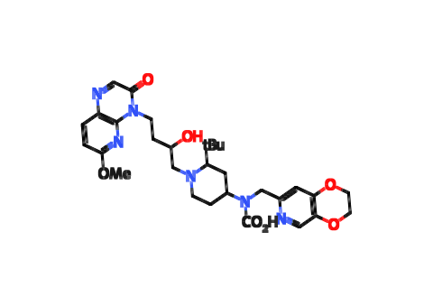 COc1ccc2ncc(=O)n(CCC(O)CN3CCC(N(Cc4cc5c(cn4)OCCO5)C(=O)O)CC3C(C)(C)C)c2n1